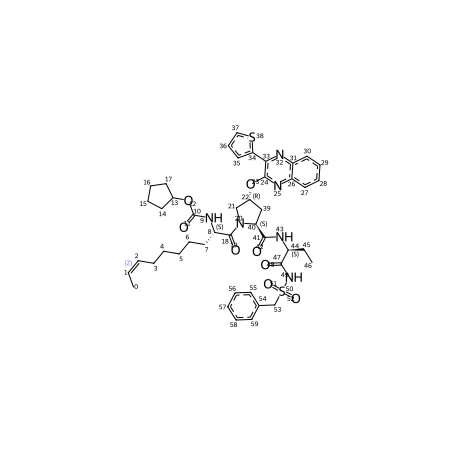 C/C=C\CCCCC[C@H](NC(=O)OC1CCCC1)C(=O)N1C[C@H](Oc2nc3ccccc3nc2-c2cccs2)C[C@H]1C(=O)N[C@@H](CC)C(=O)NS(=O)(=O)Cc1ccccc1